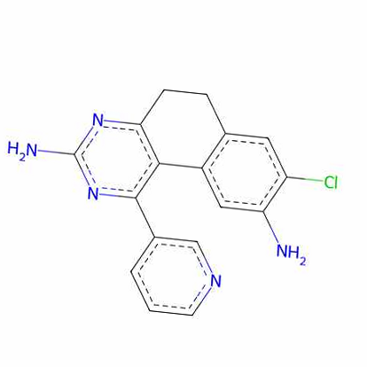 Nc1nc2c(c(-c3cccnc3)n1)-c1cc(N)c(Cl)cc1CC2